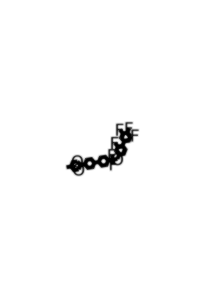 CC1COC(C2CCC(C3CCC(C(F)(F)Oc4ccc(-c5cc(F)c(F)c(F)c5)c(F)c4)CC3)CC2)OC1